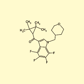 CC1(C)C(C(=O)c2cn(CC3CCOCC3)c3c(F)c(F)c(F)c(F)c23)C1(C)C